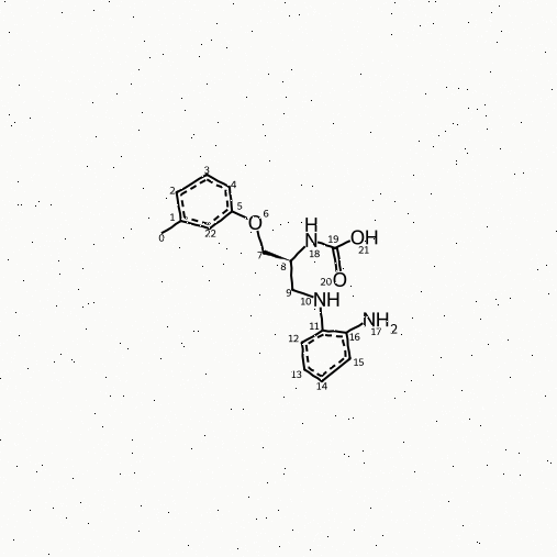 Cc1cccc(OC[C@H](CNc2ccccc2N)NC(=O)O)c1